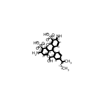 CSC(C)c1ccc(-c2c3ccc(=N)c(S(=O)(=O)O)c-3oc3c(S(=O)(=O)O)c(N)ccc23)c(C(=O)O)c1